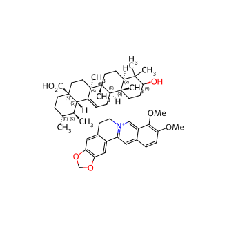 COc1ccc2cc3[n+](cc2c1OC)CCc1cc2c(cc1-3)OCO2.C[C@H]1[C@H](C)CC[C@]2(C(=O)O)CC[C@]3(C)C(=CC[C@@H]4[C@@]5(C)CC[C@H](O)C(C)(C)[C@@H]5CC[C@]43C)[C@H]12